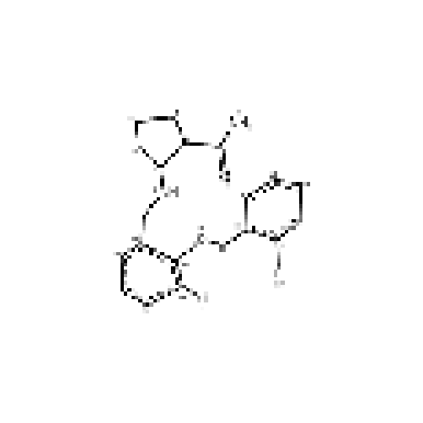 NC(=O)C1CCCC1NCc1cccc(Cl)c1OCc1ccccc1F